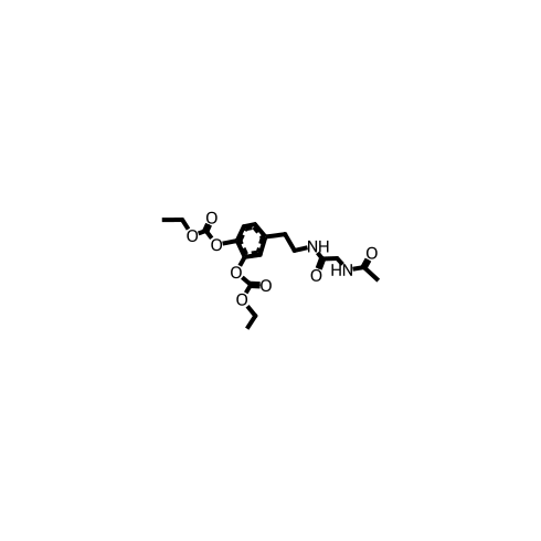 CCOC(=O)Oc1ccc(CCNC(=O)CNC(C)=O)cc1OC(=O)OCC